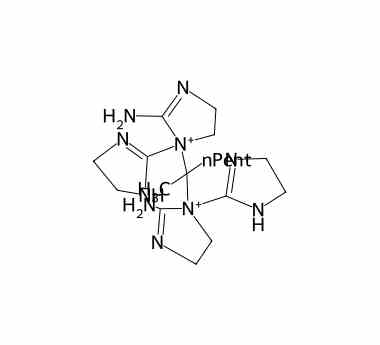 CCCCCC(C)([N+]1(C2=NCCN2)CCN=C1N)[N+]1(C2=NCCN2)CCN=C1N